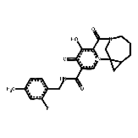 Cc1ccc(CNC(=O)c2cn3c(c(O)c2=O)C(=O)N2CCCC4CC43C2)c(F)c1